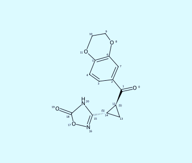 O=C(c1ccc2c(c1)OCCO2)[C@H]1C[C@@H]1c1noc(=O)[nH]1